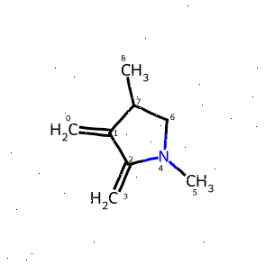 C=C1C(=C)N(C)CC1C